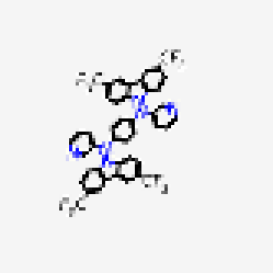 FC(F)(F)c1ccc2c(c1)c1cc(C(F)(F)F)ccc1n2N(c1ccc(N(c2cccnc2)n2c3ccc(C(F)(F)F)cc3c3cc(C(F)(F)F)ccc32)cc1)c1cccnc1